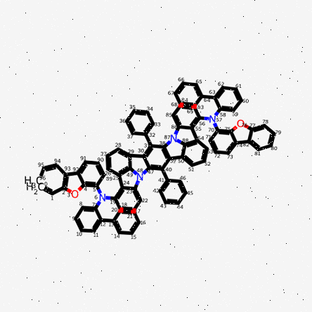 C=Cc1oc2c(N(c3ccccc3-c3ccccc3)c3cccc4c3c3cccc5c6c(-c7ccccc7)c7c(c(-c8ccccc8)c6n4c35)c3cccc4c5c(N(c6ccccc6-c6ccccc6)c6cccc8c6oc6ccccc68)cccc5n7c43)cccc2c1/C=C\C